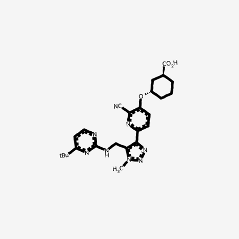 Cn1nnc(-c2ccc(O[C@H]3CCC[C@H](C(=O)O)C3)c(C#N)n2)c1CNc1nccc(C(C)(C)C)n1